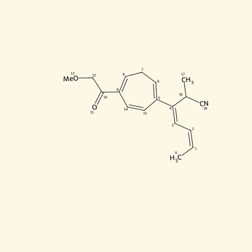 C/C=C\C=C(\C1=CCC=C(C(=O)COC)C=C1)C(C)C#N